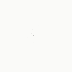 C=C=Cn1ccnc1